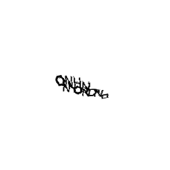 c1ccc2[nH]c(-c3ccc4c(c3)nc3n4CC4CC3CN4C3CCC3)nc2c1